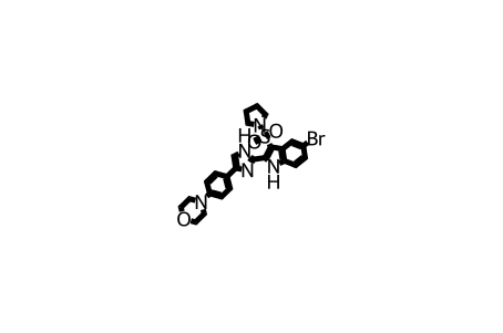 O=S(=O)(c1c(-c2nc(-c3ccc(N4CCOCC4)cc3)c[nH]2)[nH]c2ccc(Br)cc12)N1CCCC1